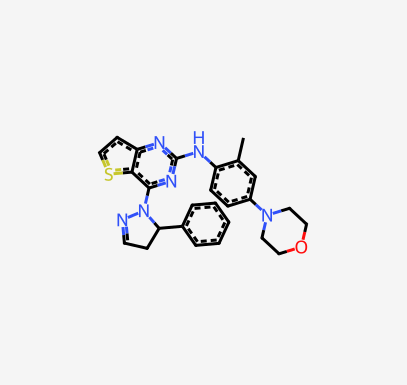 Cc1cc(N2CCOCC2)ccc1Nc1nc(N2N=CCC2c2ccccc2)c2sccc2n1